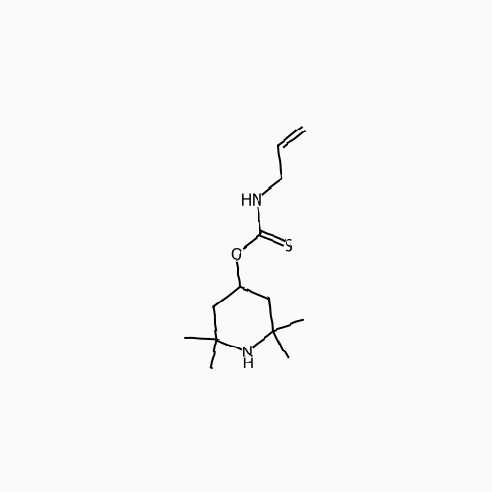 C=CCNC(=S)OC1CC(C)(C)NC(C)(C)C1